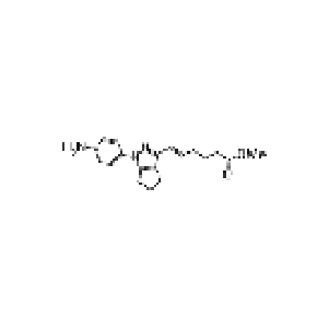 COC(=O)CCCC=Cc1nn(-c2ccc(N)cc2)c2c1CCC2